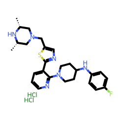 C[C@@H]1CN(Cc2cnc(-c3cccnc3N3CCC(Nc4ccc(F)cc4)CC3)s2)C[C@H](C)N1.Cl.Cl